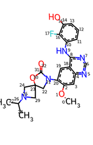 COc1cc2ncnc(Nc3cccc(O)c3F)c2cc1N1CC2(CN(C(C)C)C2)OC1=O